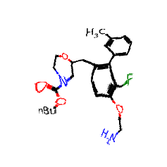 CCCCOC(=O)N1CCOC(Cc2ccc(OCCN)c(F)c2-c2cccc(C)c2)C1